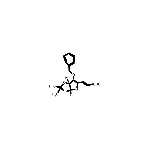 CC1(C)O[C@H]2OC(/C=C/C=O)[C@H](OCc3ccccc3)[C@H]2O1